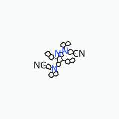 N#Cc1ccc(N(c2ccc3c(-c4ccc5ccccc5c4)c4cc(N(c5ccc(C#N)cc5)c5cccc6ccccc56)cnc4c(-c4ccc5ccccc5c4)c3c2)c2cccc3ccccc23)cc1